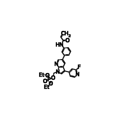 C=CC(=O)Nc1cccc(-c2cnc3c(c2)c(-c2ccnc(F)c2)cn3COP(=O)(OCC)OCC)c1